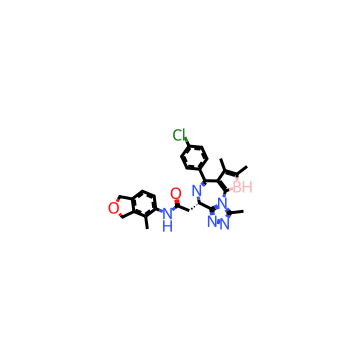 CC1=C(C)C2=C(B1)n1c(C)nnc1[C@H](CC(=O)Nc1ccc3c(c1C)COC3)N=C2c1ccc(Cl)cc1